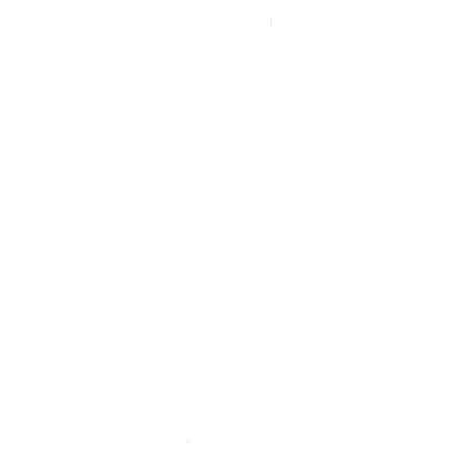 C=CCOc1ccc(-c2ccc(CCCOC(=O)C=C)cc2)cc1